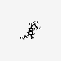 C#CC(=C)C(=O)c1cc2cc(OCCF)c(Br)cc2[nH]1